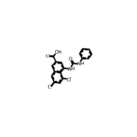 O=C(Nc1ccccc1)Nc1cc(C(=O)O)cc2cc(Cl)cc(Cl)c12